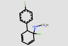 O=C(O)NC1(F)C=CC=CC1c1ccc(F)cc1